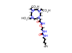 CC(C)CCCCNC(=O)NCCONC(=O)CN1CCN(CC(=O)O)CCN(CC(=O)O)CCN(CC(=O)O)CC1